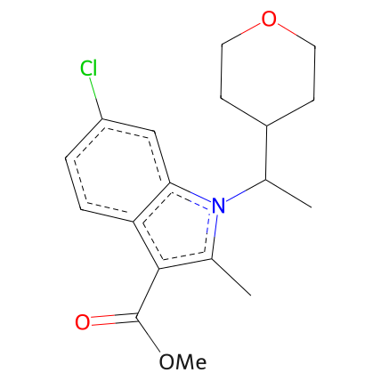 COC(=O)c1c(C)n(C(C)C2CCOCC2)c2cc(Cl)ccc12